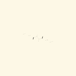 CCCOC(=O)C(Cl)C(Cl)C(=O)OCCC